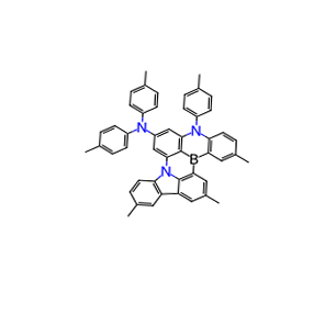 Cc1ccc(N(c2ccc(C)cc2)c2cc3c4c(c2)-n2c5ccc(C)cc5c5cc(C)cc(c52)B4c2cc(C)ccc2N3c2ccc(C)cc2)cc1